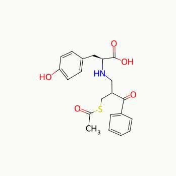 CC(=O)SCC(CN[C@@H](Cc1ccc(O)cc1)C(=O)O)C(=O)c1ccccc1